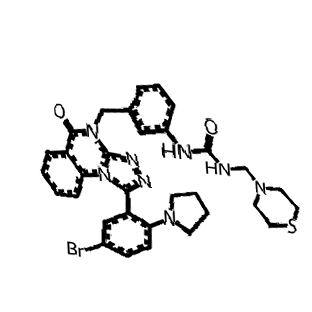 O=C(NCN1CCSCC1)Nc1cccc(Cn2c(=O)c3ccccc3n3c(-c4cc(Br)ccc4N4CCCC4)nnc23)c1